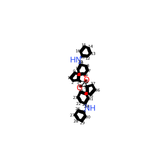 C1=CC[C]([Zr]([O]c2ccc(Nc3ccccc3)cc2)([O]c2ccc(Nc3ccccc3)cc2)[C]2=CC=CC2)=C1